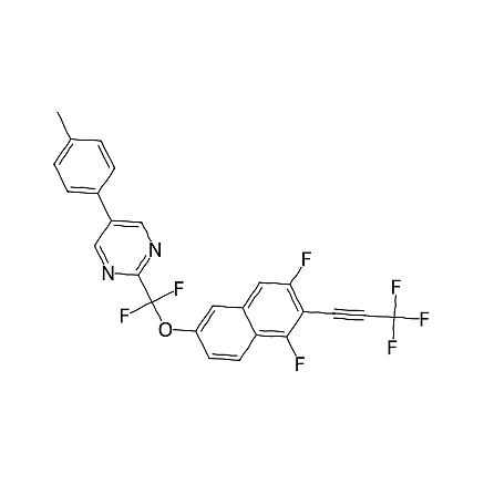 Cc1ccc(-c2cnc(C(F)(F)Oc3ccc4c(F)c(C#CC(F)(F)F)c(F)cc4c3)nc2)cc1